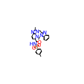 CCn1c(Cn2c(C)nc3ccc(C(=O)NS(=O)(=O)c4ccc(C)cc4)nc32)nc2ccccc21